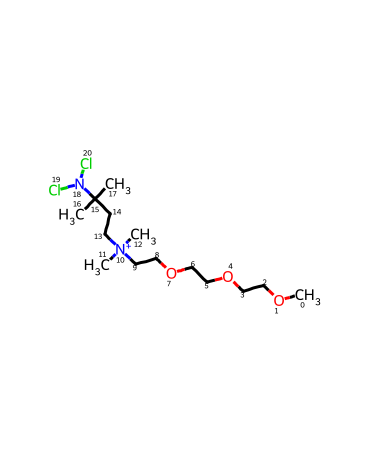 COCCOCCOCC[N+](C)(C)CCC(C)(C)N(Cl)Cl